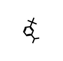 CC(C)c1cc[c]c(C(C)(C)C)c1